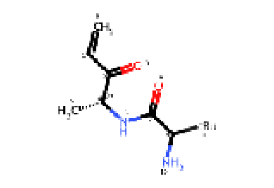 C=CC(=O)[C@@H](C)NC(=O)C(N)C(C)(C)C